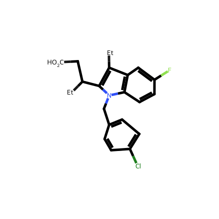 CCc1c(C(CC)CC(=O)O)n(Cc2ccc(Cl)cc2)c2ccc(F)cc12